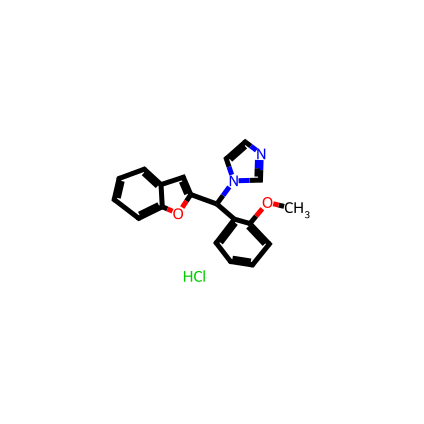 COc1ccccc1C(c1cc2ccccc2o1)n1ccnc1.Cl